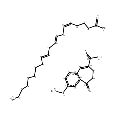 CCCCCCCCC=CCC=CC/C=C\CCCC(=O)O.COc1ccc2c(c1)C(=O)CCC(C(=O)O)=C2